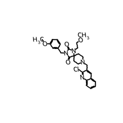 COCCN1C(=O)N(Cc2cccc(OC)c2)C(=O)C12CCN(Cc1cc3ccccc3nc1Cl)CC2